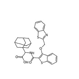 O=C(NC(C(=O)O)C12CC3CC(CC(C3)C1)C2)c1sc2ccccc2c1OCc1nc2ccccc2s1